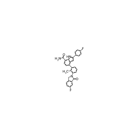 Cc1c(-c2ccc(C(N)=O)c3[nH]c(-c4ccc(F)cc4)cc23)cccc1N1Cc2ccc(F)cc2C1=O